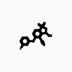 N#Cc1c(Oc2cccc(F)c2)ccc2c1C(O)CS2(=O)=O